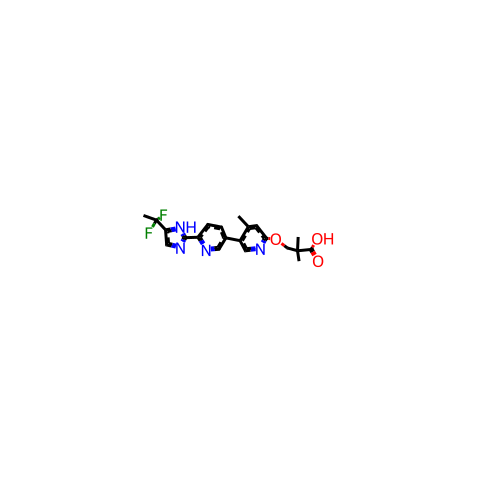 Cc1cc(OCC(C)(C)C(=O)O)ncc1-c1ccc(-c2ncc(C(C)(F)F)[nH]2)nc1